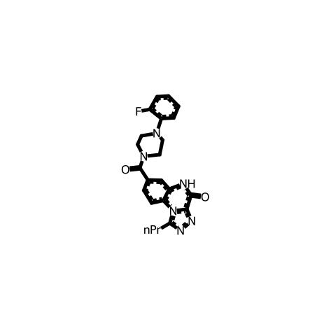 CCCc1nnc2c(=O)[nH]c3cc(C(=O)N4CCN(c5ccccc5F)CC4)ccc3n12